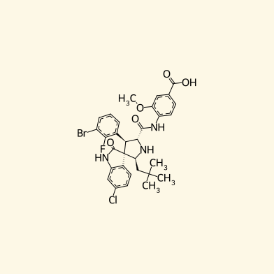 COc1cc(C(=O)O)ccc1NC(=O)[C@@H]1N[C@@H](CC(C)(C)C)[C@@]2(C(=O)Nc3cc(Cl)ccc32)[C@H]1c1cccc(Br)c1F